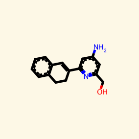 Nc1cc(CO)nc(C2=Cc3ccccc3CC2)c1